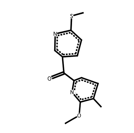 COc1nc(C(=O)c2ccc(SC)nc2)ccc1C